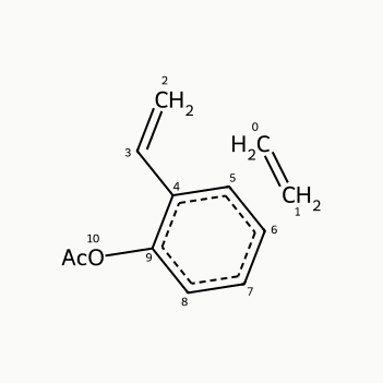 C=C.C=Cc1ccccc1OC(C)=O